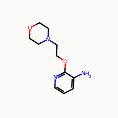 Nc1cccnc1OCCN1CCOCC1